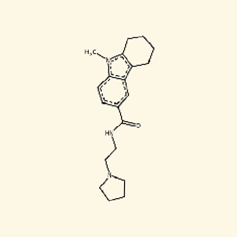 Cn1c2c(c3cc(C(=O)NCCN4CCCC4)ccc31)CCCC2